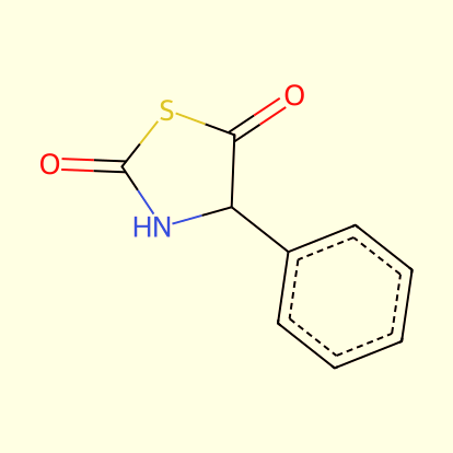 O=C1NC(c2ccccc2)C(=O)S1